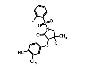 CC1(C)CN(S(=O)(=O)c2ccccc2F)C(=O)C1Oc1ccc(C#N)c(C(F)(F)F)c1